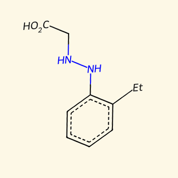 CCc1ccccc1NNCC(=O)O